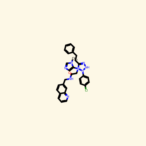 Cn1cncc1[N+]1(CC(=O)NCc2ccc3cccnc3c2)C(CCc2ccccc2)=NNN1c1ccc(Cl)cc1